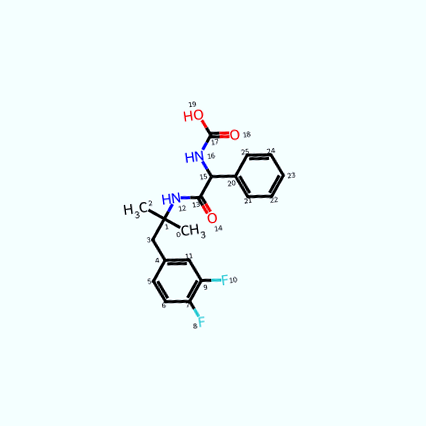 CC(C)(Cc1ccc(F)c(F)c1)NC(=O)C(NC(=O)O)c1ccccc1